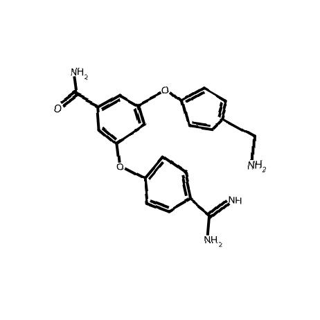 N=C(N)c1ccc(Oc2cc(Oc3ccc(CN)cc3)cc(C(N)=O)c2)cc1